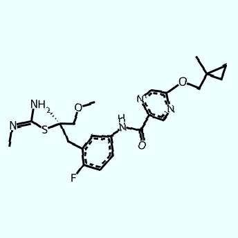 C/N=C(/N)S[C@@](C)(COC)Cc1cc(NC(=O)c2cnc(OCC3(C)CC3)cn2)ccc1F